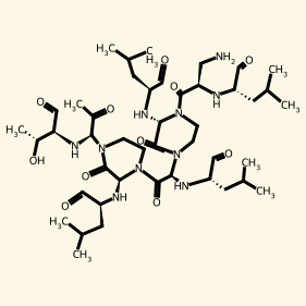 CC(=O)[C@H](N[C@H](C=O)[C@@H](C)O)N1CCN(C(=O)[C@H](N[C@H](C=O)CC(C)C)N2CCN(C(=O)[C@@H](CN)N[C@H](C=O)CC(C)C)[C@@H](N[C@H](C=O)CC(C)C)C2=O)[C@@H](N[C@H](C=O)CC(C)C)C1=O